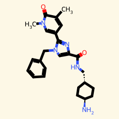 Cc1cc(-c2nc(C(=O)NC[C@H]3CC[C@H](N)CC3)cn2Cc2ccccc2)cn(C)c1=O